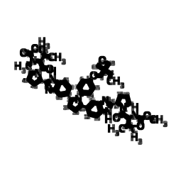 CCC1(COc2ccc(N3[C@@H](c4ccc5[nH]c([C@@H]6CCCN6C(=O)[C@@H](NC(=O)OC)C(C)C)nc5c4)CC[C@@H]3c3ccc4[nH]c([C@@H]5CCCN5C(=O)[C@H](C(C)C)N(C)C(=O)O)nc4c3)cc2)COC1